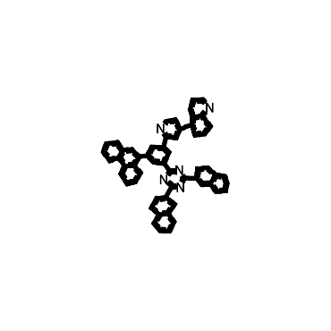 c1ccc2cc(-c3nc(-c4cc(-c5cc(-c6cccc7ncccc67)ccn5)cc(-c5cc6ccccc6c6ccccc56)c4)nc(-c4ccc5ccccc5c4)n3)ccc2c1